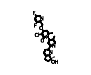 Cc1cnc(-c2ccc3c(n2)[C@@](C)(O)CC3)cc1-n1c(C)cc(OCc2ncc(F)cc2F)c(Cl)c1=O